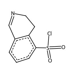 O=S(=O)(Cl)c1cccc2c1CCN=C2